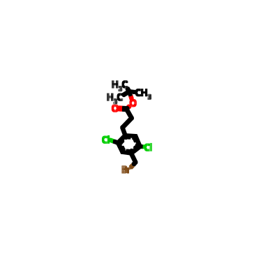 CC(C)(C)OC(=O)CCc1cc(Cl)c(CBr)cc1Cl